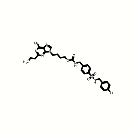 CCCc1nc(N)c2ncn(CCCCOC(=O)NCc3ccc(S(=O)(=O)NCc4ccc(Cl)cc4)cc3)c2n1